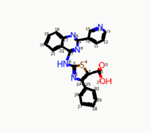 O=C(O)c1sc(Nc2nc(-c3cccnc3)nc3ccccc23)nc1-c1ccccc1